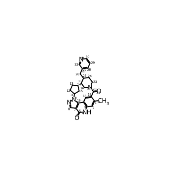 Cc1cc2[nH]c(=O)c3cnn(C4CCCC4)c3c2cc1C(=O)N1CCC(Cc2cccnc2)CC1